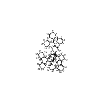 c1ccc(C2(c3ccccc3)c3ccccc3-c3cc(N(c4ccc5c6ccccc6c6ccccc6c5c4)c4cccc5c4C4(c6ccccc6-c6ccccc64)c4ccccc4-5)ccc32)cc1